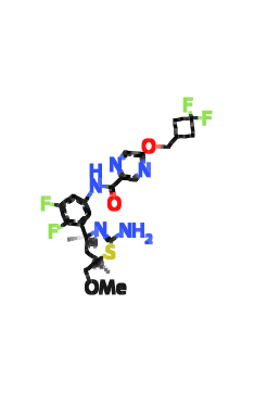 COC[C@@]1(C)C[C@@](C)(c2cc(NC(=O)c3cnc(OCC4CC(F)(F)C4)cn3)cc(F)c2F)N=C(N)S1